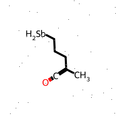 CC(=C=O)CC[CH2][SbH2]